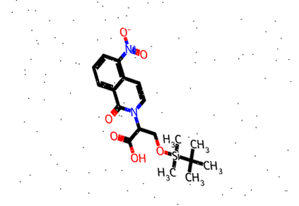 CC(C)(C)[Si](C)(C)OCC(C(=O)O)n1ccc2c([N+](=O)[O-])cccc2c1=O